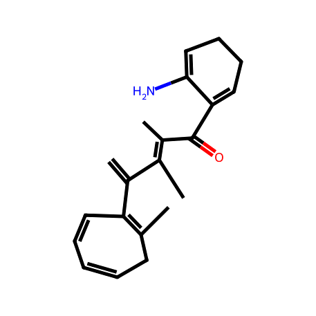 C=C(C1=C(C)CC=CC=C1)/C(C)=C(\C)C(=O)C1=CCCC=C1N